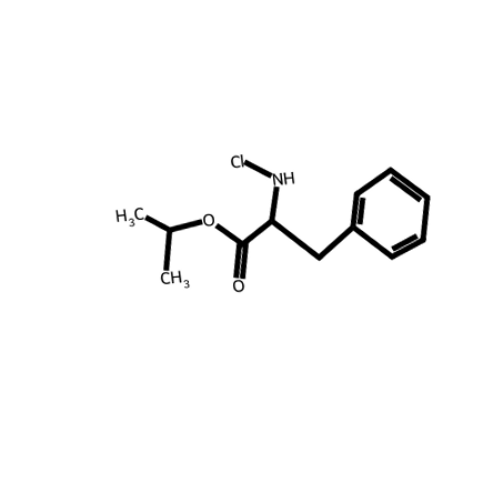 CC(C)OC(=O)C(Cc1ccccc1)NCl